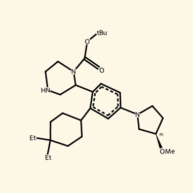 CCC1(CC)CCC(c2cc(N3CC[C@@H](OC)C3)ccc2C2CNCCN2C(=O)OC(C)(C)C)CC1